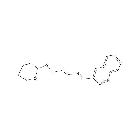 C(=NOCCOC1CCCCO1)c1cnc2ccccc2c1